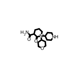 NC(=O)C1CCC[N+](C2CCNCC2)(C2CCOCC2)C1=O